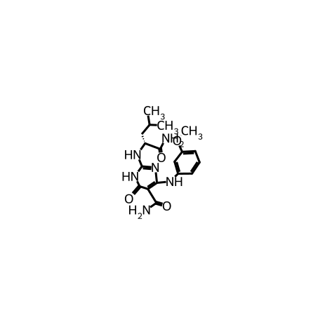 COc1cccc(Nc2nc(N[C@H](CC(C)C)C(N)=O)[nH]c(=O)c2C(N)=O)c1